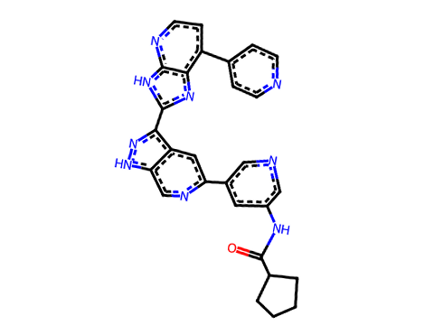 O=C(Nc1cncc(-c2cc3c(-c4nc5c(-c6ccncc6)ccnc5[nH]4)n[nH]c3cn2)c1)C1CCCC1